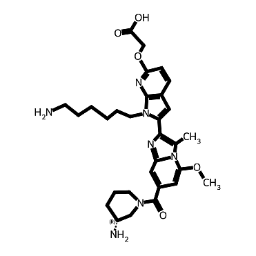 COc1cc(C(=O)N2CCC[C@@H](N)C2)cc2nc(-c3cc4ccc(OCC(=O)O)nc4n3CCCCCCN)c(C)n12